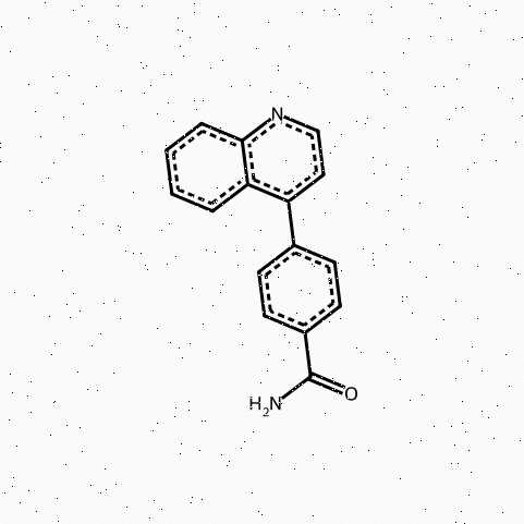 NC(=O)c1ccc(-c2ccnc3ccccc23)cc1